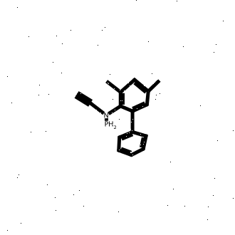 C#CN(P)c1c(C)cc(C)cc1-c1ccccc1